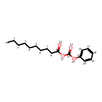 CCCCCCCCCC(=O)OC(=O)Oc1ccccc1